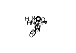 CCC1(Oc2ccc(N)c(C(=N)c3cc(N4CCOCC4)ncn3)c2)CC1